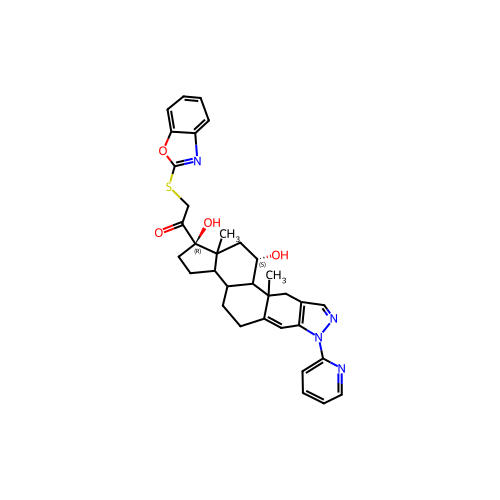 CC12Cc3cnn(-c4ccccn4)c3C=C1CCC1C2[C@@H](O)CC2(C)C1CC[C@]2(O)C(=O)CSc1nc2ccccc2o1